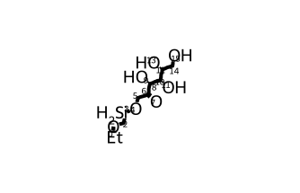 CCOC[SiH2]OCC(=O)[C@H](O)[C@@H](O)[C@H](O)CO